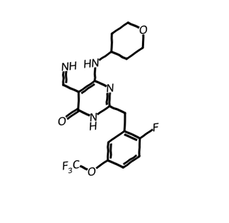 N=Cc1c(NC2CCOCC2)nc(Cc2cc(OC(F)(F)F)ccc2F)[nH]c1=O